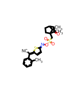 Cc1ccccc1/C(C#N)=C1C=C/C(=N\OS(=O)(=O)CC23CCC(CC2=O)C3(C)C)S\1